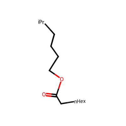 CCCCCCCC(=O)OCCCCC(C)C